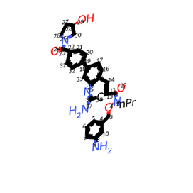 CCCN(OCc1cccc(N)c1)C(=O)C1=Cc2ccc(-c3ccc(C(=O)N4CC[C@@H](O)C4)cc3)cc2N=C(N)C1